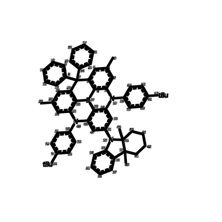 Cc1cc2c3c(c1)C(c1ccccc1)(c1ccccc1)c1cc(C)cc4c1B3c1c(cc(N3c5ccccc5C5(C)CCCCC35C)cc1N4c1ccc(C(C)(C)C)cc1)N2c1ccc(C(C)(C)C)cc1